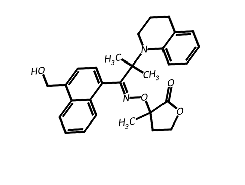 CC1(ON=C(c2ccc(CO)c3ccccc23)C(C)(C)N2CCCc3ccccc32)CCOC1=O